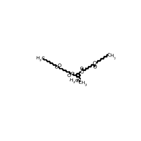 CCCCCCCCCOC(=O)CCCCCCC(=O)OCc1cc(COC(=O)CCCCCCC(=O)OCCCCCCCCC)cc(CN(C)C)c1